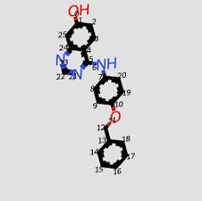 Oc1ccc2c(Nc3ccc(OCc4ccccc4)cc3)ncnc2c1